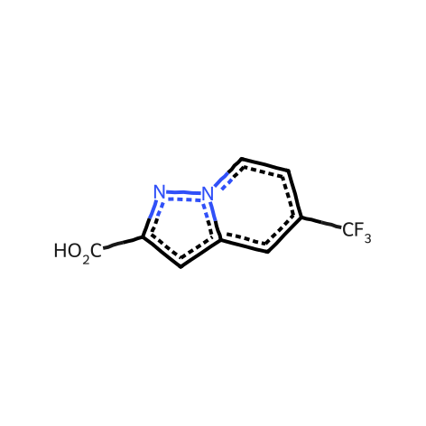 O=C(O)c1cc2cc(C(F)(F)F)ccn2n1